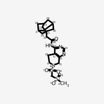 CS(=O)(=O)CS(=O)(=O)N1CCc2c(ncnc2NC(=O)CC23CC4CC(CC(C4)C2)C3)C1